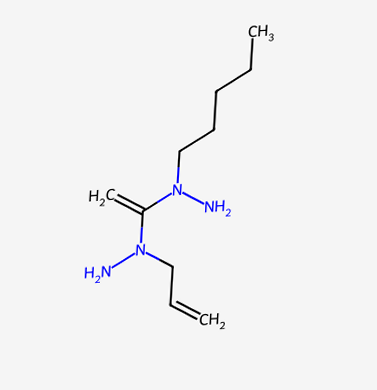 C=CCN(N)C(=C)N(N)CCCCC